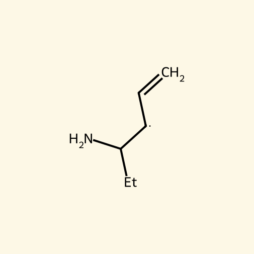 C=C[CH]C(N)CC